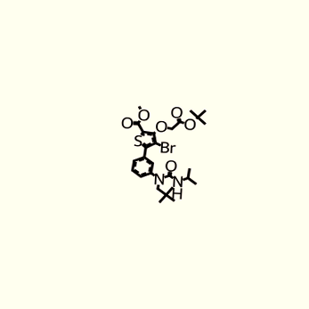 COC(=O)c1sc(-c2cccc(N(CC(C)(C)C)C(=O)NC(C)C)c2)c(Br)c1OCC(=O)OC(C)(C)C